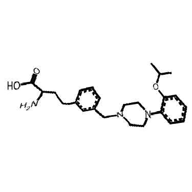 CC(C)Oc1ccccc1N1CCN(Cc2cccc(CCC(N)C(=O)O)c2)CC1